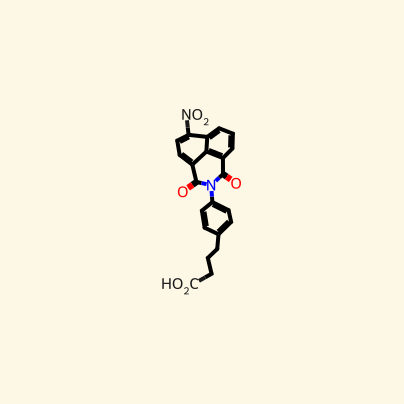 O=C(O)CCCc1ccc(N2C(=O)c3cccc4c([N+](=O)[O-])ccc(c34)C2=O)cc1